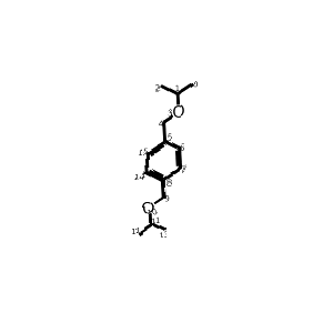 CC(C)OCc1ccc(COC(C)C)cc1